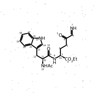 CCOC(=O)[C@H](CCC(=O)C=N)NC(=O)[C@H](Cc1c[nH]c2ccccc12)NC(C)=O